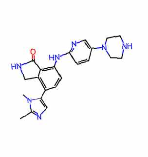 Cc1ncc(-c2ccc(Nc3ccc(N4CCNCC4)cn3)c3c2CNC3=O)n1C